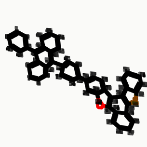 c1ccc(-c2c3ccccc3c(-c3ccc(-c4ccc5c(c4)oc4c6ccccc6c6sc7ccccc7c6c54)cc3)c3ccccc23)cc1